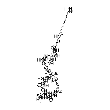 CCCC[C@H](NC(=O)CN1CCN(C(=O)[C@H](Cc2c[nH]cn2)NC(=O)[C@H](CCC(N)=O)NC(=O)[C@H](CO)NC(=O)CNC(=O)COCCOCCNC(=O)CCCCCCCCCCCCCCCc2nnn[nH]2)CC1)C(=O)N[C@H]1CCC(=O)NCCCC[C@@H](C(C)=O)NC(=O)[C@H](Cc2c[nH]c3ccccc23)NC(=O)[C@H](CCCNC(=N)N)NC(=O)[C@@H](Cc2ccccc2)NC(=O)[C@@H]2C[C@@H](O)CN2C1=O